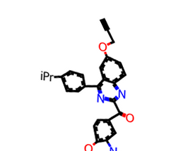 C#CCOc1ccc2nc(C(=O)c3ccc4c(c3)N(C)CCO4)nc(-c3ccc(C(C)C)cc3)c2c1